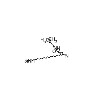 CN(C)CCCCCNC(=O)OCc1ccc(C#N)cc1CCCCCCCCCCCCCCCCCCNC=O